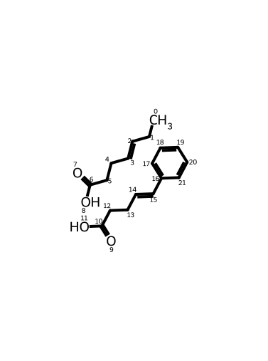 CCC=CCCC(=O)O.O=C(O)CCC=Cc1ccccc1